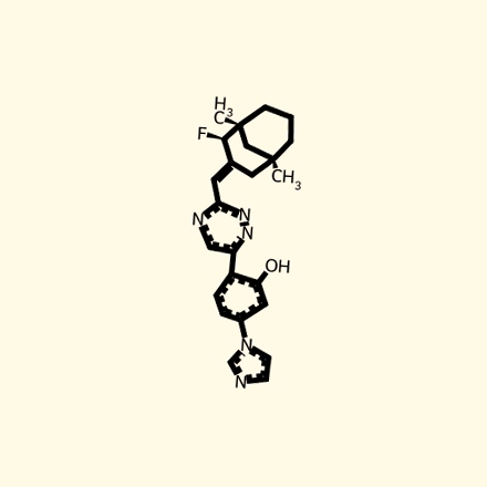 C[C@]12CCC[C@](C)(C1)[C@H](F)/C(=C/c1ncc(-c3ccc(-n4ccnc4)cc3O)nn1)C2